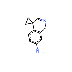 Nc1ccc2c(c1)CN=CC21CC1